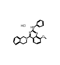 COc1cccc2c(N3CCc4ccccc4C3)nc(Nc3ccccc3)nc12.Cl